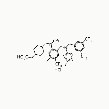 CCCN(C[C@H]1CC[C@H](CC(=O)O)CC1)c1cc(C)c(C(F)(F)F)cc1CN(Cc1cc(C(F)(F)F)cc(C(F)(F)F)c1)c1nnn(C)n1.Cl